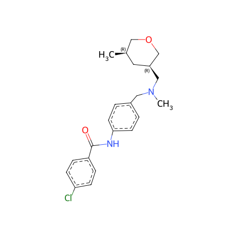 C[C@H]1COC[C@@H](CN(C)Cc2ccc(NC(=O)c3ccc(Cl)cc3)cc2)C1